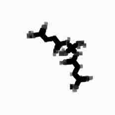 CC(O)(OC(=O)CCC(=O)O)OC(=O)CCC(=O)O